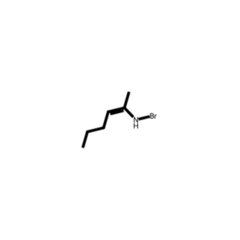 CCC/C=C(/C)NBr